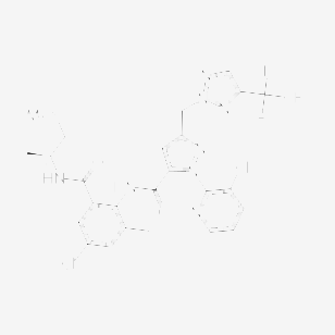 CSC[C@H](C)NC(=O)c1cc(Cl)cc(C)c1NC(=O)c1cc(Cn2ncc(C(F)(F)C(F)(F)F)n2)nn1-c1ncccc1Cl